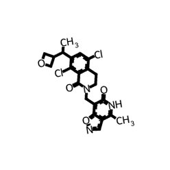 Cc1[nH]c(=O)c(CN2CCc3c(Cl)cc(C(C)C4COC4)c(Cl)c3C2=O)c2oncc12